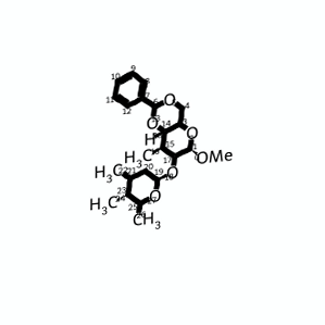 CO[C@H]1OC2COC(c3ccccc3)O[C@H]2[C@H](C)C1O[C@@H]1CC(C)[C@@H](C)C(C)O1